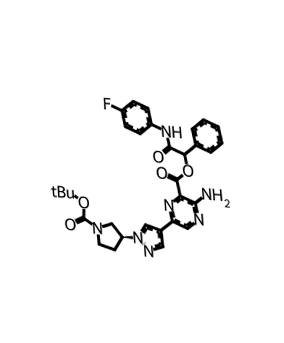 CC(C)(C)OC(=O)N1CC[C@H](n2cc(-c3cnc(N)c(C(=O)OC(C(=O)Nc4ccc(F)cc4)c4ccccc4)n3)cn2)C1